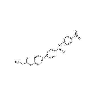 CCC(=O)Oc1ccc(-c2ccc(C(=O)Sc3ccc([N+](=O)[O-])cc3)cc2)cc1